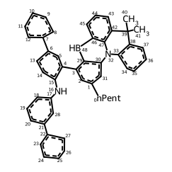 CCCCCc1cc(-c2cc(-c3ccccc3)ccc2Nc2cccc(-c3ccccc3)c2)c2c(c1)N1c3ccccc3C(C)(C)c3cccc(c31)B2